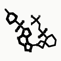 Cc1ccc(S(=O)(=O)n2ccc3c2ncc2cnc(N4CC5(CCCCN5S(=O)(=O)CCC(F)(F)F)C4)n23)cc1